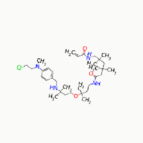 C=CC(=O)NCC(C)(C)CC(C)(C)CC(=O)NCCC(C)(C)OCCC(C)(C)NCc1ccc(N(C)CCCl)cc1